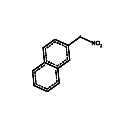 O=[N+]([O-])[CH]c1ccc2ccccc2c1